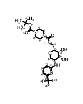 CC(C)(C)OC(=O)N1CCN(C(=O)NC[C@H]2OC[C@H](Nc3cncc(C(F)(F)F)n3)[C@@H](O)[C@H]2O)CC1